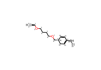 C=COCCCCOC[C@H]1C=CC(BCC)=CC1